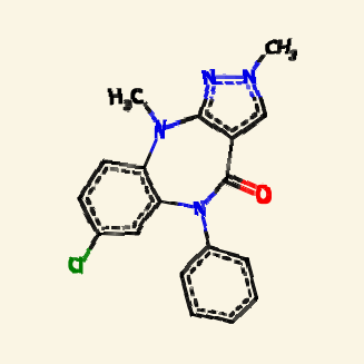 CN1c2ccc(Cl)cc2N(c2ccccc2)C(=O)c2cn(C)nc21